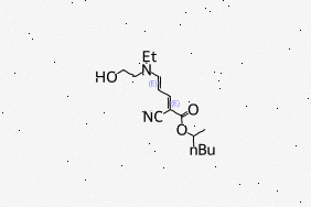 CCCCC(C)OC(=O)/C(C#N)=C/C=C/N(CC)CCO